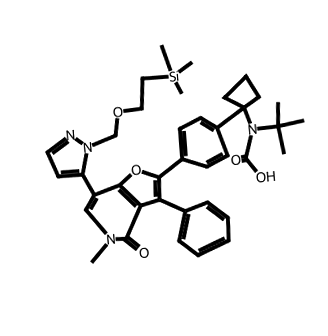 Cn1cc(-c2ccnn2COCC[Si](C)(C)C)c2oc(-c3ccc(C4(N(C(=O)O)C(C)(C)C)CCC4)cc3)c(-c3ccccc3)c2c1=O